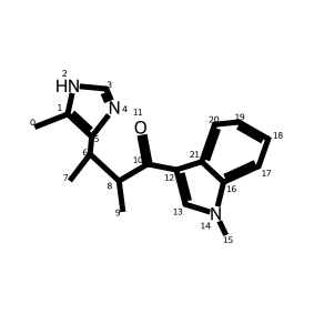 Cc1[nH]cnc1C(C)C(C)C(=O)c1cn(C)c2ccccc12